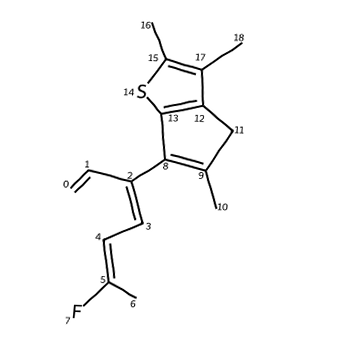 C=C/C(=C\C=C(/C)F)C1=C(C)Cc2c1sc(C)c2C